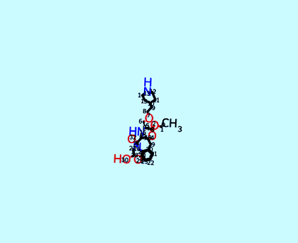 CCOC(=O)[C@H](COCCC1CCNCC1)N[C@H]1CCc2ccccc2N(CC(=O)O)C1=O